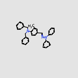 Cc1cc(C=NN(c2ccccc2)c2ccccc2)ccc1N(Cc1ccccc1)Cc1ccccc1